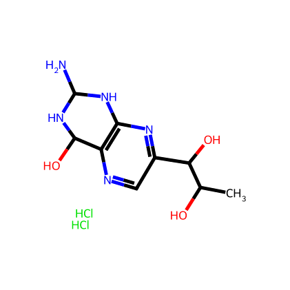 CC(O)C(O)c1cnc2c(n1)NC(N)NC2O.Cl.Cl